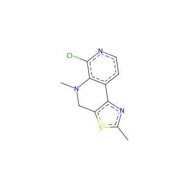 Cc1nc2c(s1)CN(C)c1c-2ccnc1Cl